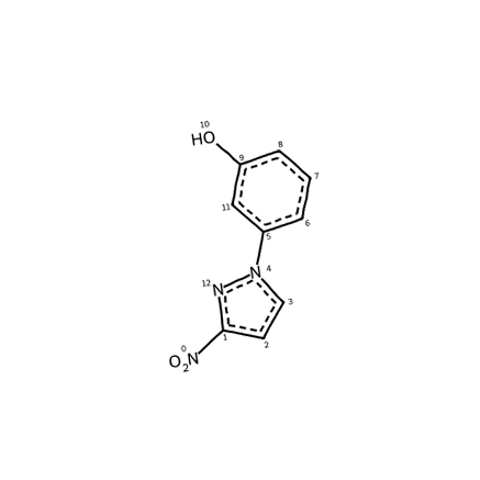 O=[N+]([O-])c1ccn(-c2cccc(O)c2)n1